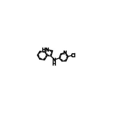 Clc1ccc(Nc2c[nH]c3ccccc23)cn1